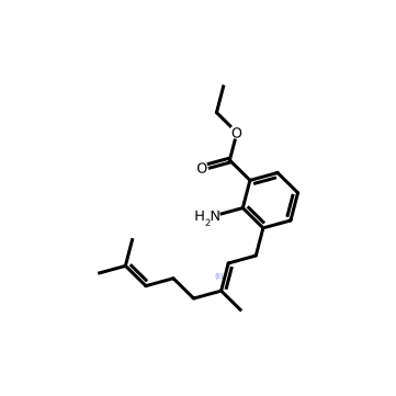 CCOC(=O)c1cccc(C/C=C(\C)CCC=C(C)C)c1N